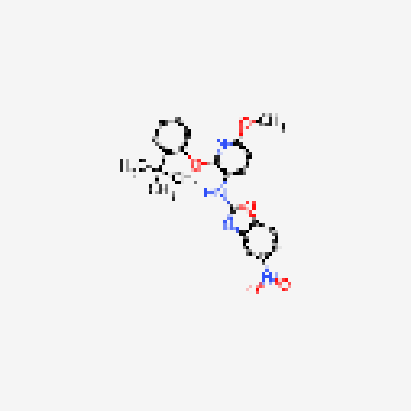 COc1ccc(Nc2nc3cc([N+](=O)[O-])ccc3o2)c(Oc2ccccc2C(C)(C)C)n1